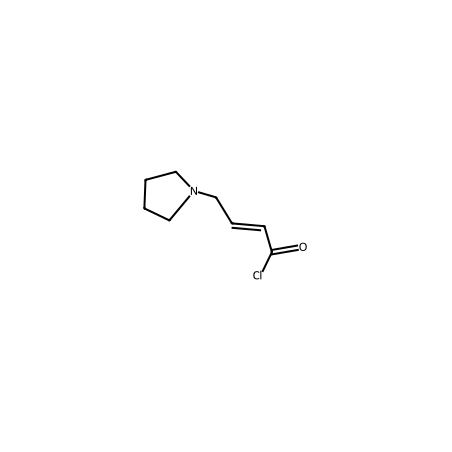 O=C(Cl)C=CCN1CCCC1